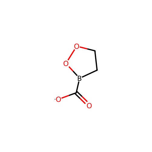 [O]C(=O)B1CCOO1